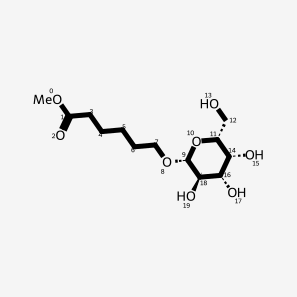 COC(=O)CCCCCO[C@@H]1O[C@H](CO)[C@H](O)[C@H](O)[C@H]1O